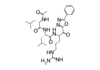 CC(=O)N[C@@H](CC(C)C)C(=O)N[C@@H](CC(C)C)C(=O)NC(CCCNC(=N)N)C(=O)c1nnc(-c2ccccc2)o1